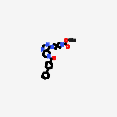 CC(C)(C)OC(=O)N1CC2(C1)CN(c1ncnc3c1CN(C(=O)c1ccc(-c4ccccc4)cc1)CC3)C2